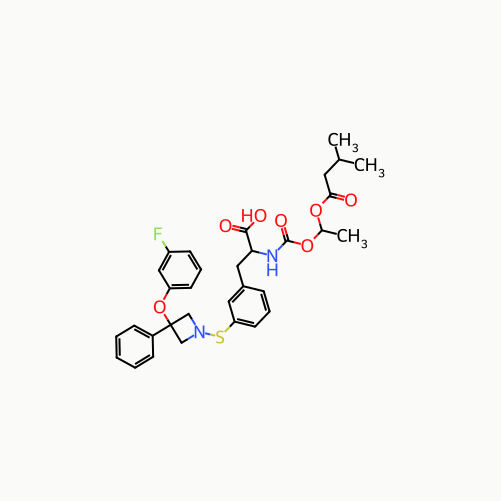 CC(C)CC(=O)OC(C)OC(=O)NC(Cc1cccc(SN2CC(Oc3cccc(F)c3)(c3ccccc3)C2)c1)C(=O)O